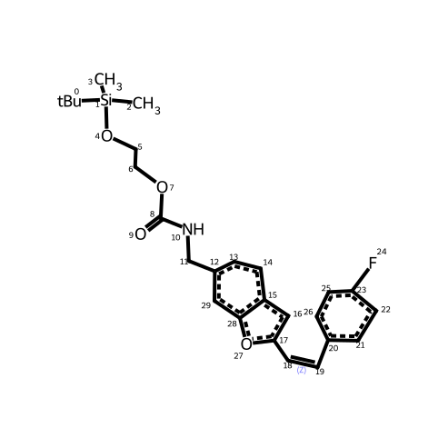 CC(C)(C)[Si](C)(C)OCCOC(=O)NCc1ccc2cc(/C=C\c3ccc(F)cc3)oc2c1